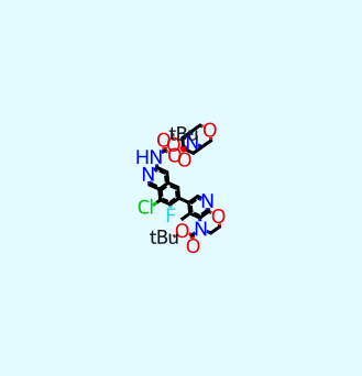 Cc1c(-c2cc3cc(NC(=O)OC4CC5COCC(C4)N5C(=O)OC(C)(C)C)ncc3c(Cl)c2F)cnc2c1N(C(=O)OC(C)(C)C)CCO2